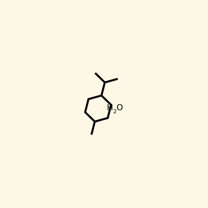 CC1CCC(C(C)C)CC1.O